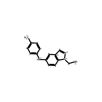 Cc1ccc(Nc2ccc3c(cnn3CC(C)C)c2)cc1